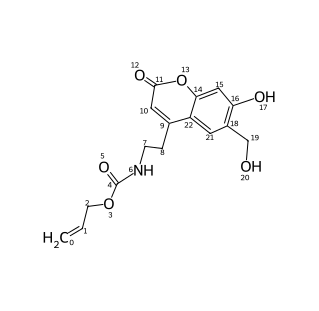 C=CCOC(=O)NCCc1cc(=O)oc2cc(O)c(CO)cc12